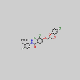 O=C(O)Cc1cc(NC(=O)c2ccc(OC[C@@H]3COc4cc(Cl)ccc4O3)c(Cl)c2F)ccc1F